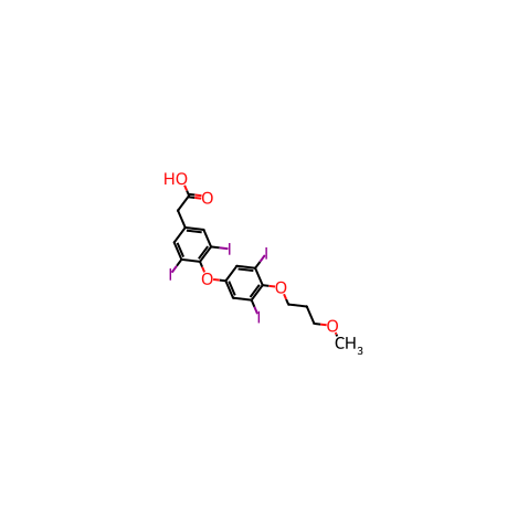 COCCCOc1c(I)cc(Oc2c(I)cc(CC(=O)O)cc2I)cc1I